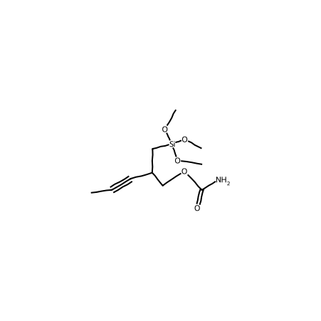 CC#CC(COC(N)=O)C[Si](OC)(OC)OC